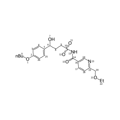 CCCCOc1ccc(C(O)CCS(=O)(=O)NC(=O)c2ccc(COCC)nc2)cc1